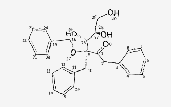 O=C(Cc1ccccc1)[C@@](Cc1ccccc1)(OCc1ccccc1)[C@H](O)[C@H](O)CO